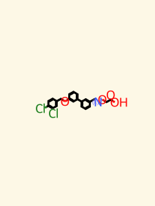 O=C(O)CO/N=C/c1cccc(-c2cccc(OCc3ccc(Cl)c(Cl)c3)c2)c1